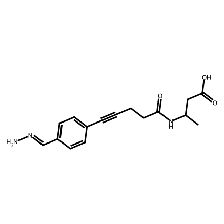 CC(CC(=O)O)NC(=O)CCC#Cc1ccc(C=NN)cc1